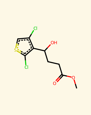 COC(=O)CCC(O)c1c(Cl)csc1Cl